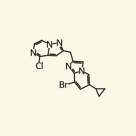 Clc1nccn2nc(Cc3cn4cc(C5CC5)cc(Br)c4n3)cc12